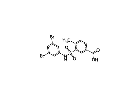 Cc1ccc(C(=O)O)cc1S(=O)(=O)Nc1cc(Br)cc(Br)c1